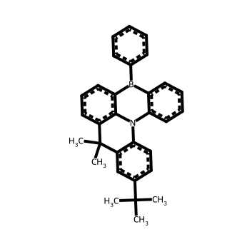 CC(C)(C)c1ccc2c(c1)C(C)(C)c1cccc3c1N2c1ccccc1B3c1ccccc1